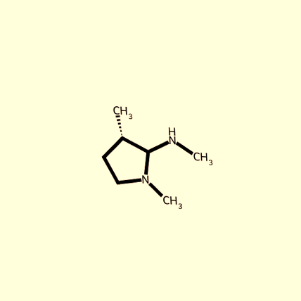 CNC1[C@@H](C)CCN1C